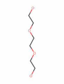 [O]CCOCCOCC[O]